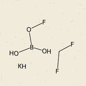 FCF.OB(O)OF.[KH]